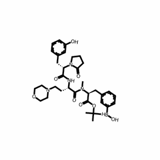 CN(C(=O)[C@H](CCN1CCOCC1)NC(=O)[C@H](Cc1cccc(O)c1)N1CCCC1=O)[C@@H](Cc1cccc(BO)c1)C(=O)OC(C)(C)C